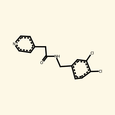 O=C(Cc1ccncc1)NCc1ccc(Cl)c(Cl)c1